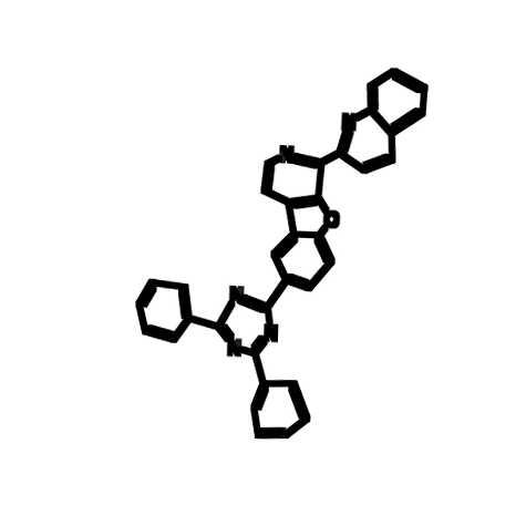 c1ccc(-c2nc(-c3ccccc3)nc(-c3ccc4oc5c(-c6ccc7ccccc7n6)nccc5c4c3)n2)cc1